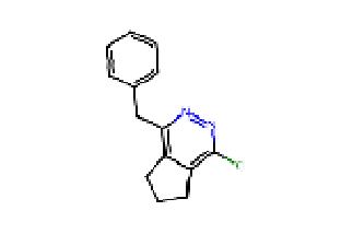 Clc1nnc(Cc2ccccc2)c2c1CCC2